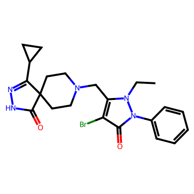 CCn1c(CN2CCC3(CC2)C(=O)NN=C3C2CC2)c(Br)c(=O)n1-c1ccccc1